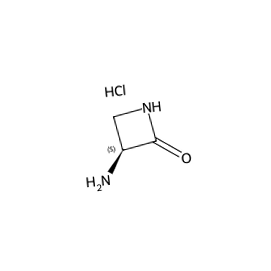 Cl.N[C@H]1CNC1=O